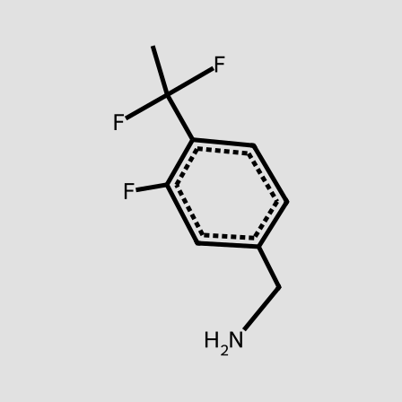 CC(F)(F)c1ccc(CN)cc1F